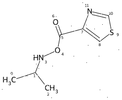 CC(C)NOC(=O)c1cscn1